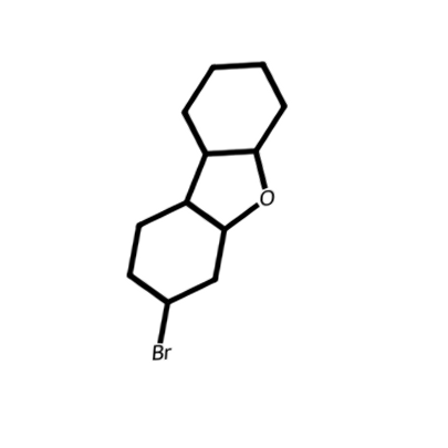 BrC1CCC2C(C1)OC1CCCCC12